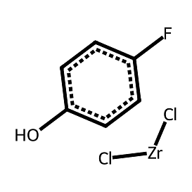 Oc1ccc(F)cc1.[Cl][Zr][Cl]